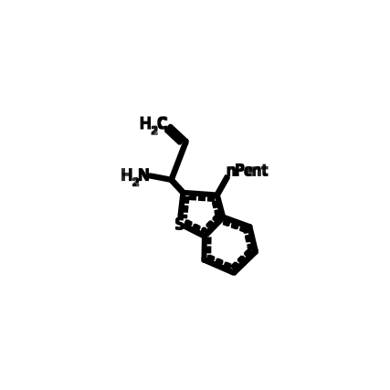 C=CC(N)c1sc2ccccc2c1CCCCC